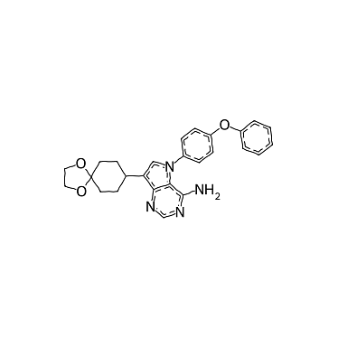 Nc1ncnc2c(C3CCC4(CC3)OCCO4)cn(-c3ccc(Oc4ccccc4)cc3)c12